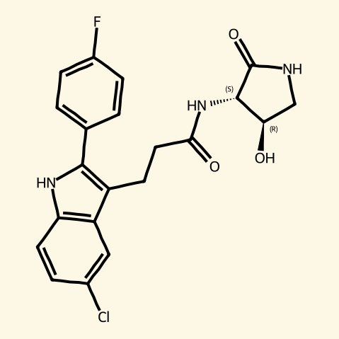 O=C(CCc1c(-c2ccc(F)cc2)[nH]c2ccc(Cl)cc12)N[C@@H]1C(=O)NC[C@H]1O